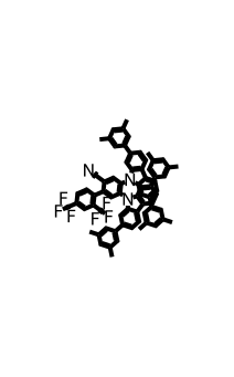 Cc1cc(C)cc(-c2ccc3c4ccc(-c5cc(C)cc(C)c5)cc4n(-c4cc(C#N)c(-c5ccc(C(F)(F)F)cc5C(F)(F)F)cc4-n4c5cc(-c6cc(C)cc(C)c6)ccc5c5ccc(-c6cc(C)cc(C)c6)cc54)c3c2)c1